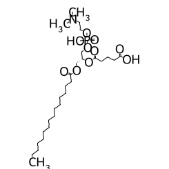 CCCCCCCCCCCCCCCC(=O)OC[C@H](COP(=O)(O)OCCN(C)C)OC(=O)CCCC(=O)O